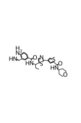 CCC(NC(=O)c1ccc(N)c(C=N)c1)c1cnc(-c2csc(C(=O)NC3CCOCC3)c2)s1